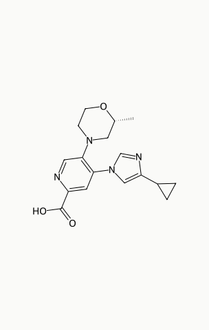 C[C@@H]1CN(c2cnc(C(=O)O)cc2-n2cnc(C3CC3)c2)CCO1